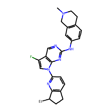 CCC1CCc2ccc(-n3cc(F)c4cnc(Nc5ccc6c(c5)CN(C)CC6)nc43)nc21